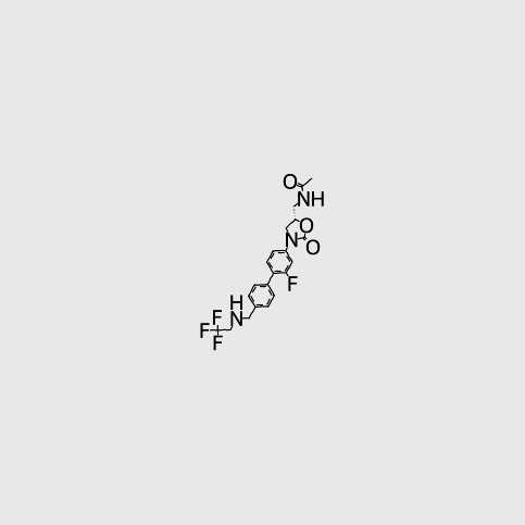 CC(=O)NC[C@H]1CN(c2ccc(-c3ccc(CNCC(F)(F)F)cc3)c(F)c2)C(=O)O1